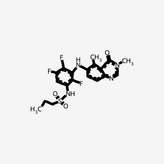 CCCS(=O)(=O)Nc1cc(F)c(F)c(Nc2ccc3ncn(C)c(=O)c3c2C)c1F